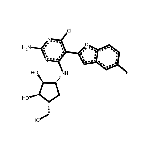 Nc1nc(Cl)c(-c2cc3cc(F)ccc3o2)c(N[C@@H]2C[C@H](CO)[C@@H](O)[C@H]2O)n1